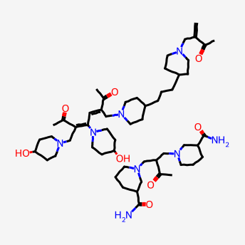 C=C(CN1CCC(CCCC2CCN(CC(=CC(=C(CN3CCC(O)CC3)C(C)=O)N3CCC(O)CC3)C(C)=O)CC2)CC1)C(C)=O.CC(=O)C(CN1CCCC(C(N)=O)C1)CN1CCCC(C(N)=O)C1